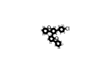 Clc1ccc(-c2cc(-c3cccc4c3oc3ccccc34)c3c(c2)oc2ccccc23)cc1